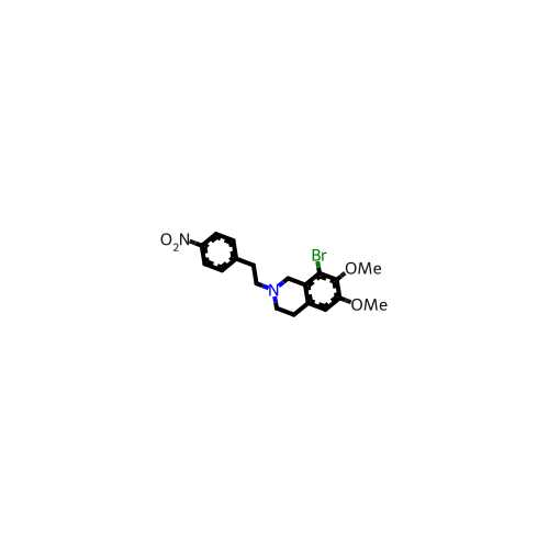 COc1cc2c(c(Br)c1OC)CN(CCc1ccc([N+](=O)[O-])cc1)CC2